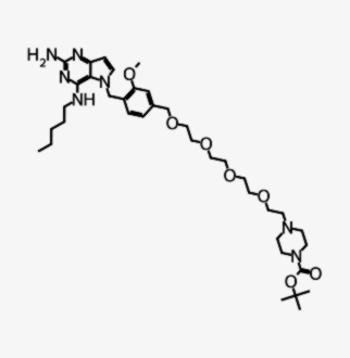 CCCCCNc1nc(N)nc2ccn(Cc3ccc(COCCOCCOCCOCCN4CCN(C(=O)OC(C)(C)C)CC4)cc3OC)c12